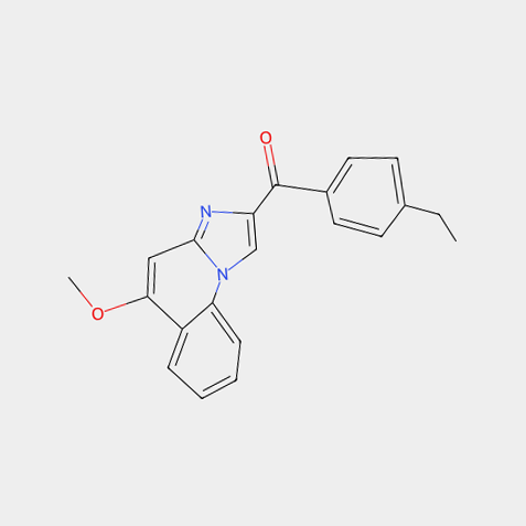 CCc1ccc(C(=O)c2cn3c(cc(OC)c4ccccc43)n2)cc1